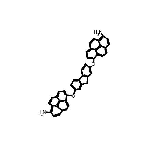 Nc1ccc2ccc3c(Oc4ccc5c(c4)Cc4cc(Oc6ccc7ccc8c(N)ccc9ccc6c7c98)ccc4-5)ccc4ccc1c2c43